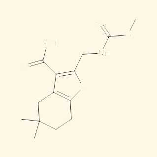 COC(=O)NCc1sc2c(c1C(=O)O)CC(C)(C)CC2